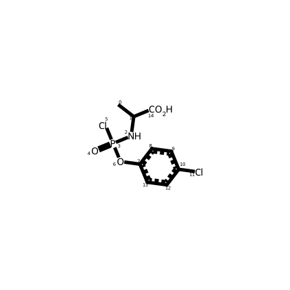 CC(NP(=O)(Cl)Oc1ccc(Cl)cc1)C(=O)O